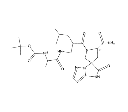 CC(C)CC(CNC(=O)C(C)NC(=O)OC(C)(C)C)C(=O)N1CC2(C[C@H]1C(N)=O)C(=O)Nc1ccnn12